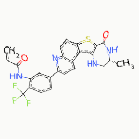 C=CC(=O)Nc1cc(-c2ccc3c(ccc4sc5c(c43)NC[C@@H](C)NC5=O)n2)ccc1C(F)(F)F